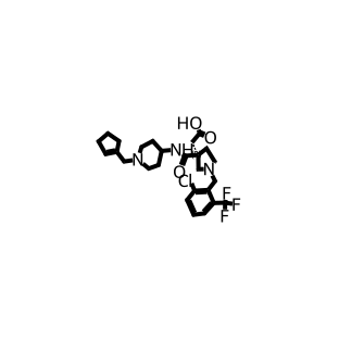 O=C(O)C[C@]1(C(=O)NC2CCN(CC3=CCCC3)CC2)CCN(Cc2c(Cl)cccc2C(F)(F)F)C1